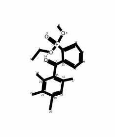 CCOP(=O)(OC)c1ccccc1C(=O)c1c(C)cc(C)c(C)c1C